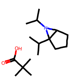 CC(C)(C)C(=O)O.CC(C)N1C2CCCC21C(C)C